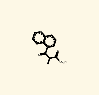 CC(C(=O)C(=O)O)C(=O)c1cccc2ncccc12